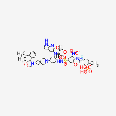 CC(C)c1ccccc1[C@@H]1COCCN1C1CC2(CCN(c3ccc(C(=O)NS(=O)(=O)c4cc5c(c([N+](=O)[O-])c4)N[C@H](C4(F)CCC(C)(OP(=O)(O)O)CC4)CO5)c(N4c5cc6cc[nH]c6nc5O[C@H]5COCC[C@@H]54)c3)CC2)C1